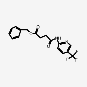 O=C(CCC(=O)OCc1ccccc1)Nc1ccc(C(F)(F)F)cn1